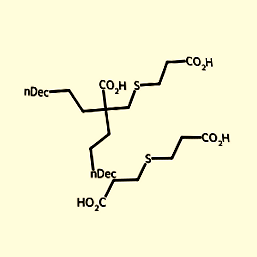 CCCCCCCCCCCCC(CCCCCCCCCCCC)(CSCCC(=O)O)C(=O)O.O=C(O)CCSCCC(=O)O